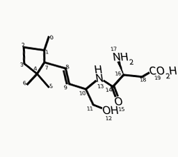 CC1CCC(C)(C)C1C=CC(CO)NC(=O)[C@@H](N)CC(=O)O